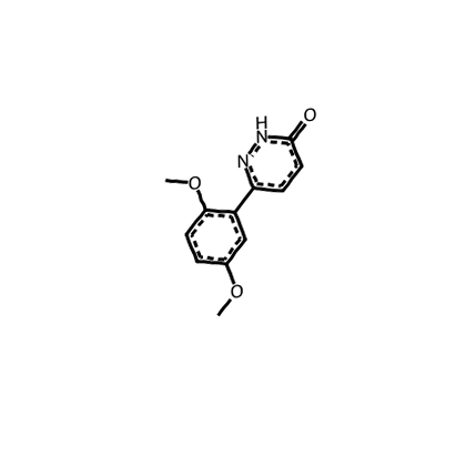 COc1ccc(OC)c(-c2ccc(=O)[nH]n2)c1